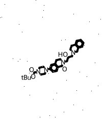 CC(C)(C)OC(=O)N1CCN(c2ccc3c(c2)CCN(CC(O)CN2CCc4ccccc4C2)C3=O)CC1